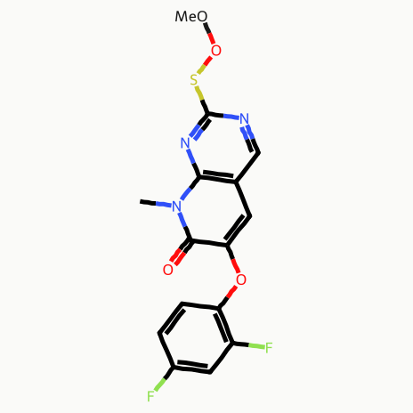 COOSc1ncc2cc(Oc3ccc(F)cc3F)c(=O)n(C)c2n1